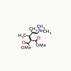 COC(=O)C(C(=O)OC)=C(C)/C(C)=C/N(C)C